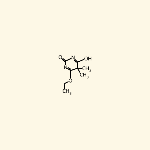 CCOC1=NC(=O)N=C(O)C1(C)C